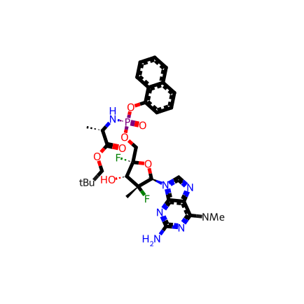 CNc1nc(N)nc2c1ncn2[C@@H]1O[C@](F)(CO[P@@](=O)(N[C@@H](C)C(=O)OCC(C)(C)C)Oc2cccc3ccccc23)[C@@H](O)[C@@]1(C)F